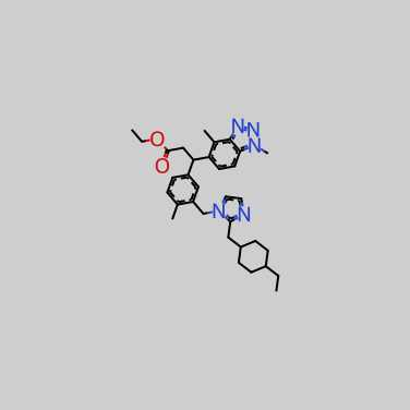 CCOC(=O)CC(c1ccc(C)c(Cn2ccnc2CC2CCC(CC)CC2)c1)c1ccc2c(nnn2C)c1C